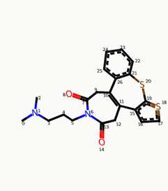 CN(C)CCCN1C(=O)CC2=C(CC1=O)c1ccsc1Sc1ccccc12